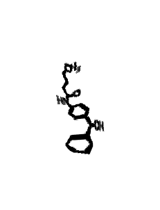 CCCCC(=O)Nc1ccc(C(O)c2ccccc2)cc1